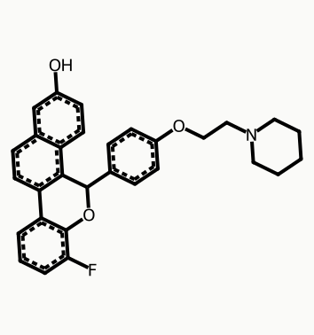 Oc1ccc2c3c(ccc2c1)-c1cccc(F)c1OC3c1ccc(OCCN2CCCCC2)cc1